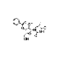 COC1C(OC(=O)c2ccccc2)C(CO)OC1n1cc(C)c(=O)[nH]c1=O